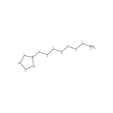 CCCCCCCCC1CCCC1